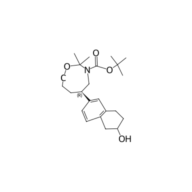 CC(C)(C)OC(=O)N1C[C@@H](c2ccc3c(c2)CCC(O)C3)CCCOC1(C)C